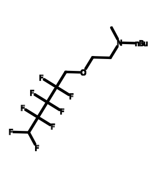 CCCCN(C)CCOCC(F)(F)C(F)(F)C(F)(F)C(F)F